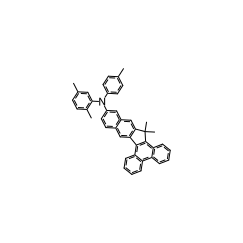 Cc1ccc(N(c2ccc3cc4c(cc3c2)C(C)(C)c2c-4c3ccccc3c3ccccc23)c2cc(C)ccc2C)cc1